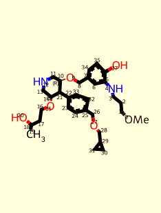 COCCCNc1cc(CO[C@H]2CNC[C@@H](OCCC(C)O)C2c2ccc(COCC3CC3)cc2)ccc1O